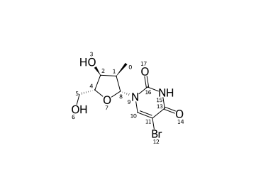 C[C@@H]1[C@H](O)[C@@H](CO)O[C@H]1n1cc(Br)c(=O)[nH]c1=O